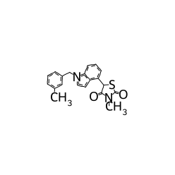 Cc1cccc(Cn2ccc3c(C4SC(=O)N(C)C4=O)cccc32)c1